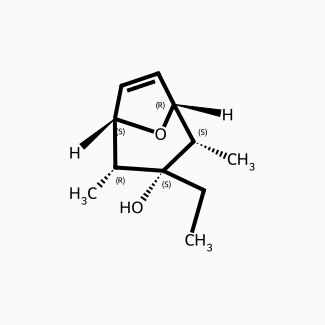 CC[C@@]1(O)[C@H](C)[C@@H]2C=C[C@@H](O2)[C@@H]1C